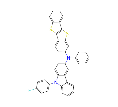 Fc1ccc(-n2c3ccccc3c3cc(N(c4ccccc4)c4ccc5c(c4)sc4c6ccccc6sc54)ccc32)cc1